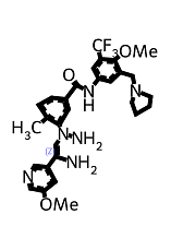 COc1cncc(/C(N)=C/N(N)c2cc(C(=O)Nc3cc(CN4CCCC4)c(OC)c(C(F)(F)F)c3)ccc2C)c1